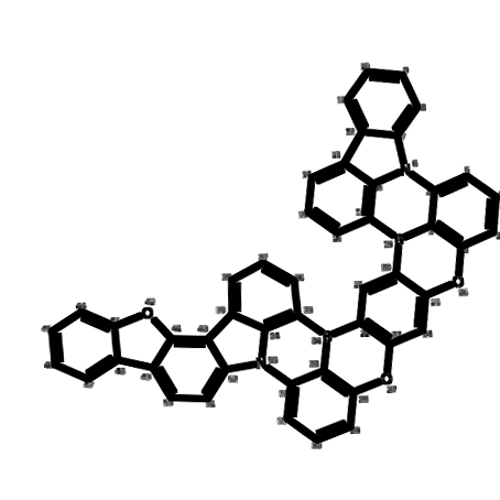 c1cc2c3c(c1)-n1c4ccccc4c4cccc(c41)B3c1cc3c(cc1O2)Oc1cccc2c1B3c1cccc3c4c5oc6ccccc6c5ccc4n-2c13